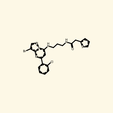 O=C(Cc1cccs1)NCCCNc1cc(-c2ccccc2Cl)nc2c(Br)cnn12